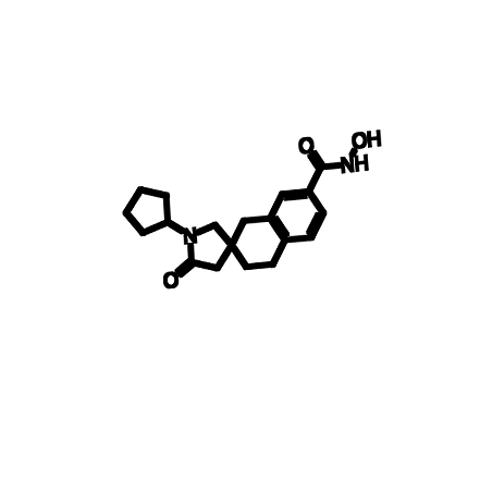 O=C(NO)c1ccc2c(c1)CC1(CC2)CC(=O)N(C2CCCC2)C1